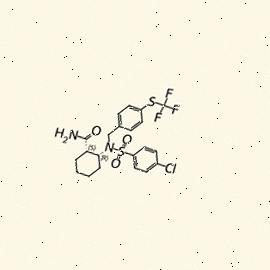 NC(=O)[C@H]1CCCC[C@H]1N(Cc1ccc(SC(F)(F)F)cc1)S(=O)(=O)c1ccc(Cl)cc1